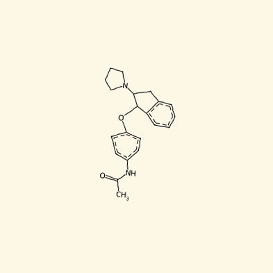 CC(=O)Nc1ccc(OC2c3ccccc3CC2N2CCCC2)cc1